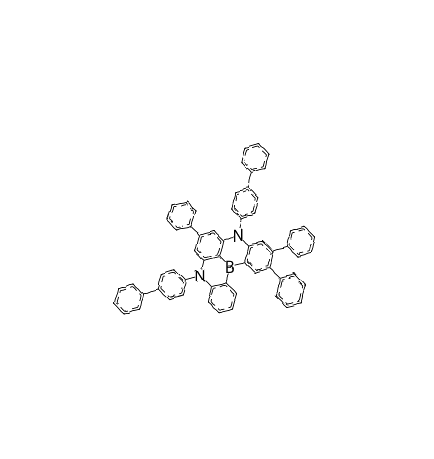 c1ccc(-c2ccc(N3c4ccccc4B4c5cc(-c6ccccc6)c(-c6ccccc6)cc5N(c5ccc(-c6ccccc6)cc5)c5cc(-c6ccccc6)cc3c54)cc2)cc1